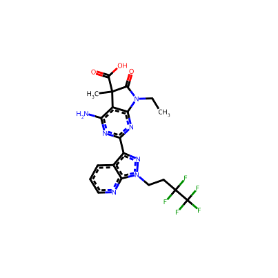 CCN1C(=O)C(C)(C(=O)O)c2c(N)nc(-c3nn(CCC(F)(F)C(F)(F)F)c4ncccc34)nc21